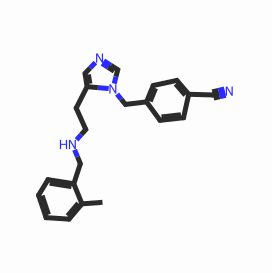 Cc1ccccc1CNCCc1cncn1Cc1ccc(C#N)cc1